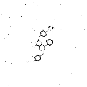 CCNc1nc(Nc2ccc(-n3cnc(C)n3)c(F)c2)nc2c1CN(Cc1ccc(OC)cc1)CC2c1ccccc1